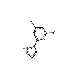 Clc1cc(Cl)nc(-c2ccc[nH]2)n1